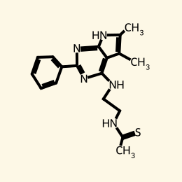 CC(=S)NCCNc1nc(-c2ccccc2)nc2[nH]c(C)c(C)c12